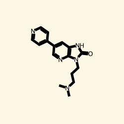 CN(C)CCCn1c(=O)[nH]c2cc(-c3ccncc3)cnc21